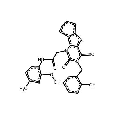 COc1cc(C)ccc1NC(=O)Cn1c(=O)n(Cc2ccccc2O)c(=O)c2sc3ccccc3c21